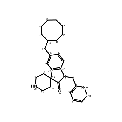 O=C1N(CC2=CC=CON2)c2ccc(CC3CCCCCCC3)cc2C12CCNCC2